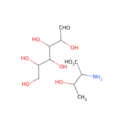 CC(O)C(N)C(=O)O.O=CC(O)C(O)C(O)C(O)CO